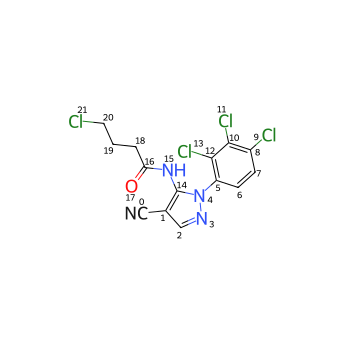 N#Cc1cnn(-c2ccc(Cl)c(Cl)c2Cl)c1NC(=O)CCCCl